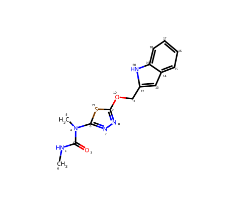 CNC(=O)N(C)c1nnc(OCc2cc3ccccc3[nH]2)s1